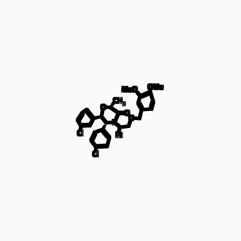 CCC(COCc1ccc(OC)c(OC)c1)N1C(=O)[C@@H](C)O[C@H](c2cccc(Cl)c2)[C@H]1c1ccc(Cl)cc1